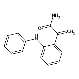 C=C(C(N)=O)c1ccccc1Nc1ccccc1